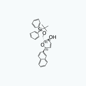 CC(C)(C)[Si](OC[C@H]1O[C@H](c2ccc3ccccc3c2)C=C[C@H]1O)(c1ccccc1)c1ccccc1